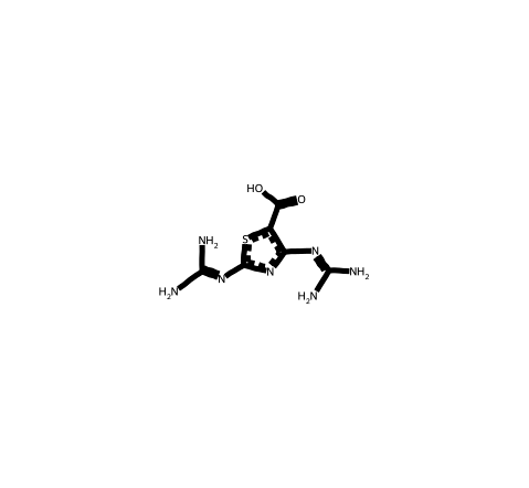 NC(N)=Nc1nc(N=C(N)N)c(C(=O)O)s1